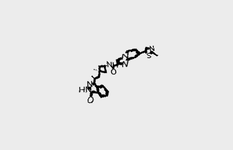 Cc1ncc(-c2ccn3cc(C(=O)N[C@H]4C[C@](C)(C[C@H](C)c5n[nH]c(=O)c6ccccc56)C4)nc3c2)s1